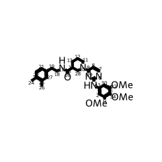 COc1cc(Nc2nccc(N3CCCC(C(=O)NCCc4ccc(C)c(C)c4)C3)n2)cc(OC)c1OC